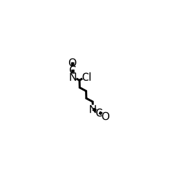 O=C=NCCCCC(Cl)N=C=O